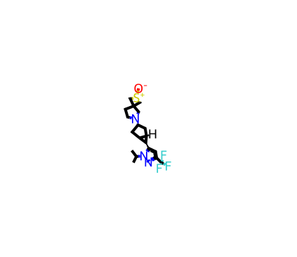 CC(C)n1nc(C(F)(F)F)cc1[C@H]1C2C[C@@H](N3CCC4(C3)C[S+]([O-])C4)C[C@@H]21